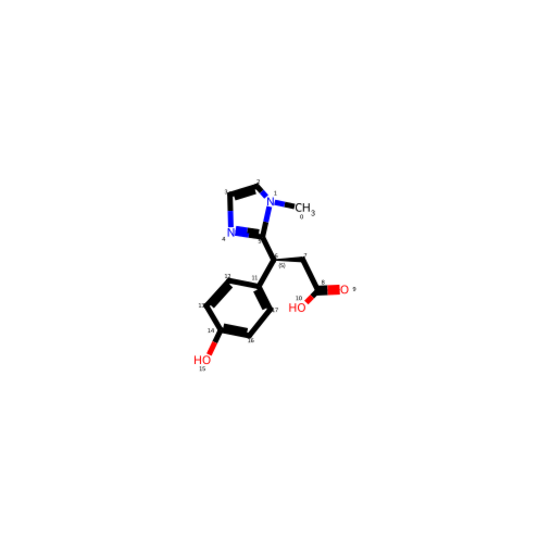 Cn1ccnc1[C@@H](CC(=O)O)c1ccc(O)cc1